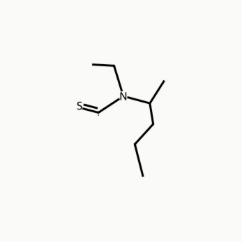 CCCC(C)N([C]=S)CC